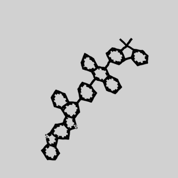 CC1(C)c2ccccc2-c2cc(-c3c4ccccc4c(-c4ccc(-c5cc6sc7cc8c(cc7c6c6ccccc56)sc5ccccc58)cc4)c4ccccc34)ccc21